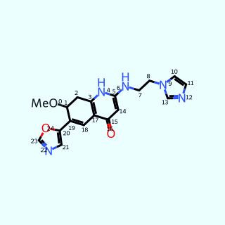 COC1Cc2[nH]c(NCCn3ccnc3)cc(=O)c2C=C1c1cnco1